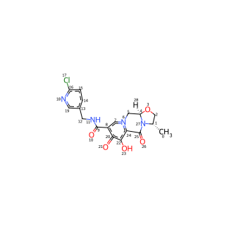 C[C@H]1CO[C@@H]2Cn3cc(C(=O)NCc4ccc(Cl)nc4)c(=O)c(O)c3C(=O)N12